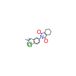 C/C(Cl)=C/c1cc(N2C(=O)C3=C(CCCC3)C2=O)ccc1Cl